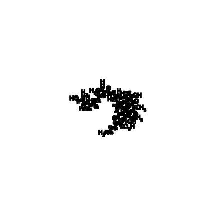 C[C@H](NC(=O)[C@@H](NC(=O)CNC(=O)CNC(=O)[C@@H](NC(=O)CNC(=O)[C@H](CO)NC(=O)[C@@H](N)CO)[C@@H](C)O)[C@@H](C)O)C(=O)N[C@H](C(=O)N[C@@H](Cc1c[nH]c2ccccc12)C(=O)N[C@@H](CCCCN)C(=O)O)[C@@H](C)O